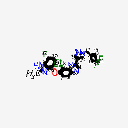 Cc1nc2c(Oc3ccc4ncc(-c5cnn(CC6CC(F)(F)C6)c5)nc4c3Cl)ccc(F)c2[nH]1